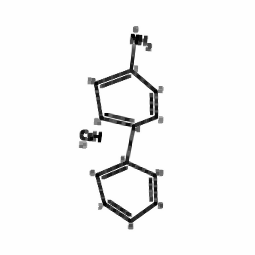 Nc1ccc(-c2ccccc2)cc1.[CsH]